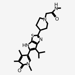 CNC(=O)CN1CCC(c2nc3c(C(C)C)c(-c4cn(C)c(=O)c(C)c4C)[nH]c3s2)CC1